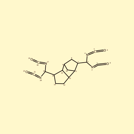 O=C=NC(N=C=O)C1CC2CC1C1CCC(C(N=C=O)N=C=O)C21